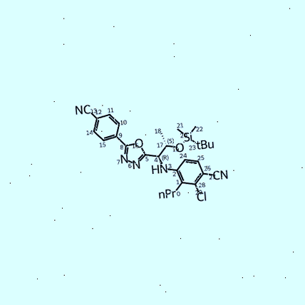 CCCc1c(N[C@@H](c2nnc(-c3ccc(C#N)cc3)o2)[C@H](C)O[Si](C)(C)C(C)(C)C)ccc(C#N)c1Cl